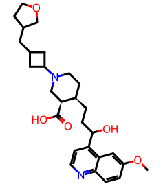 COc1ccc2nccc(C(O)CC[C@@H]3CCN(C4CC(CC5CCOC5)C4)C[C@@H]3C(=O)O)c2c1